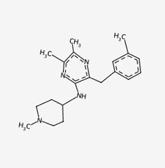 Cc1cccc(Cc2nc(C)c(C)nc2NC2CCN(C)CC2)c1